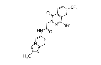 Cc1cn2cc(NC(=O)Cn3nc(C(C)C)c4cc(C(F)(F)F)ccc4c3=O)ccc2n1